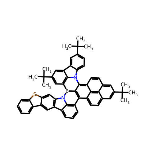 CC(C)(C)c1cc2ccc3c4c5c(c6ccc(c1)c2c36)-n1c2ccc(C(C)(C)C)cc2c2cc(C(C)(C)C)cc(c21)B5n1c2cc3sc5ccccc5c3cc2c2cccc-4c21